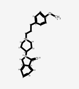 COc1ccc(CCCN2CCC(N3Cc4ccccc4C3=O)CC2)cc1